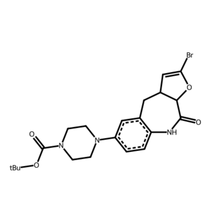 CC(C)(C)OC(=O)N1CCN(c2ccc3c(c2)CC2C=C(Br)OC2C(=O)N3)CC1